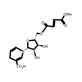 COC(=O)/C=C/C(=O)OC[C@H]1O[C@@H](N2C=CCC(C(=O)O)=C2)[C@H](O)[C@@H]1O